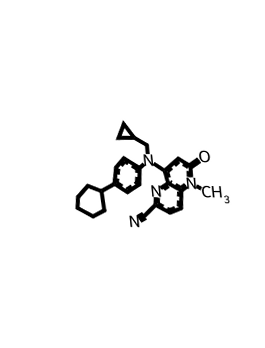 Cn1c(=O)cc(N(CC2CC2)c2ccc(C3CCCCC3)cc2)c2nc(C#N)ccc21